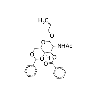 C=CCO[C@H]1OC2COC(c3ccccc3)O[C@@H]2[C@H](OC(=O)c2ccccc2)C1NC(C)=O